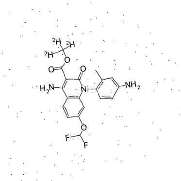 [2H]C([2H])([2H])OC(=O)c1c(N)c2ccc(OC(F)F)cc2n(-c2ccc(N)cc2C)c1=O